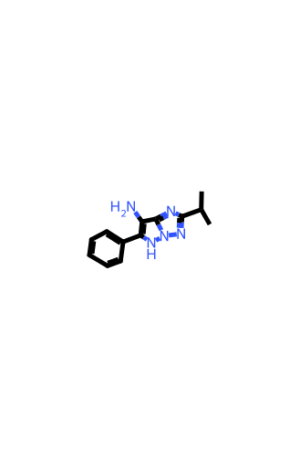 CC(C)c1nc2c(N)c(-c3ccccc3)[nH]n2n1